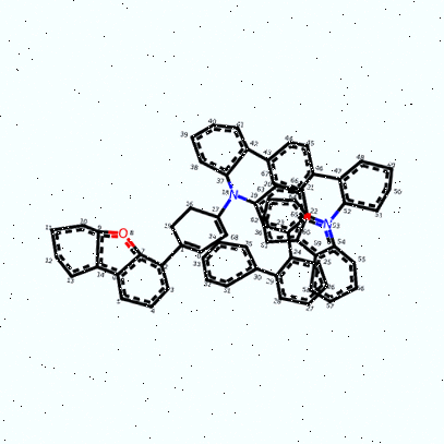 C1=C(c2cccc3c2oc2ccccc23)CCC(N(c2cccc(-c3ccccc3-c3ccccc3)c2)c2ccccc2-c2ccc(-c3ccccc3-n3c4ccccc4c4ccccc43)cc2)=C1